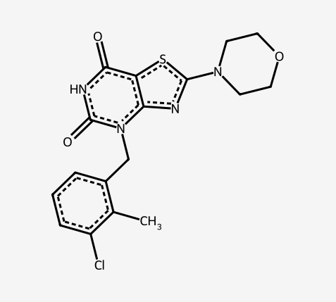 Cc1c(Cl)cccc1Cn1c(=O)[nH]c(=O)c2sc(N3CCOCC3)nc21